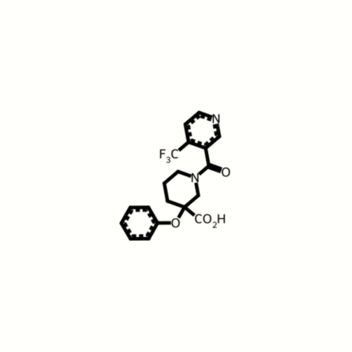 O=C(c1cnccc1C(F)(F)F)N1CCCC(Oc2ccccc2)(C(=O)O)C1